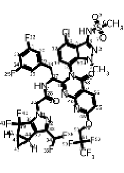 Cn1nc(NS(C)(=O)=O)c2c(Cl)ccc(-n3c([C@H](Cc4cc(F)cc(F)c4)NC(=O)Cn4nc(C(F)F)c5c4C(F)(F)[C@@H]4C[C@H]54)nc4nc(OCC(F)(F)C(F)(F)F)ccc4c3=O)c21